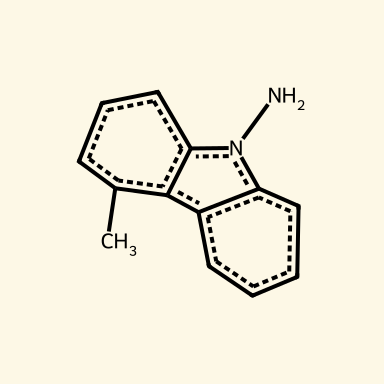 Cc1cccc2c1c1ccccc1n2N